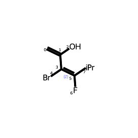 C=C(O)/C(Br)=C(/F)C(C)C